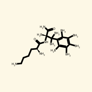 Bc1c(B)c(B)c(C(B)(B)[C@](B)(NC(=O)[C@@H](N)CCCCN)C(N)=O)c(B)c1B